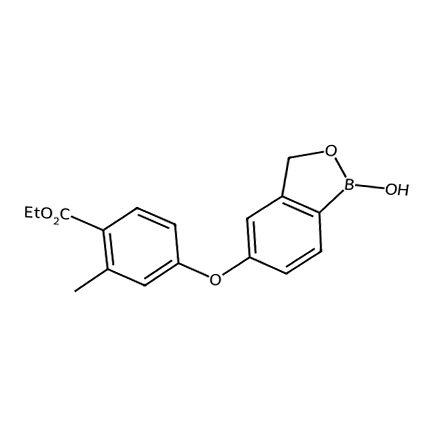 CCOC(=O)c1ccc(Oc2ccc3c(c2)COB3O)cc1C